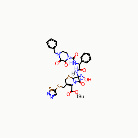 CC(C)(C)OC(=O)C1=C(CSc2cnns2)CS[C@@H]2N1C(=O)[C@@]2(NO)NC(=O)C(NC(=O)N1CCN(Cc2ccccc2)C(=O)C1=O)c1ccccc1